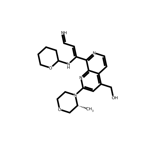 C[C@@H]1COCCN1c1cc(CO)c2ccnc(/C(=C/C=N)NC3CCCCO3)c2n1